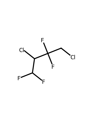 FC(F)C(Cl)C(F)(F)CCl